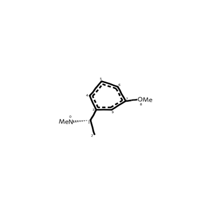 CN[C@@H](C)c1cccc(OC)c1